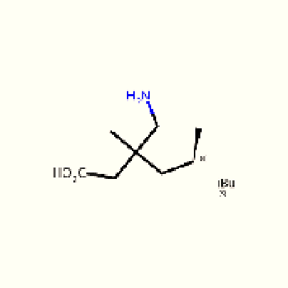 CC[C@H](C)[C@H](C)CC(C)(CN)CC(=O)O